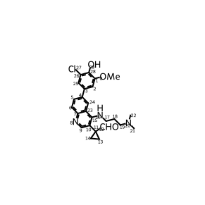 COc1cc(-c2ccc3ncc(C4(C=O)CC4)c(NCCCN(C)C)c3c2)cc(Cl)c1O